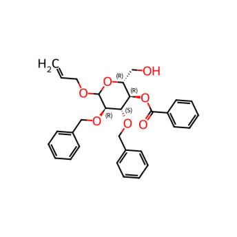 C=CCOC1O[C@H](CO)[C@@H](OC(=O)c2ccccc2)[C@H](OCc2ccccc2)[C@H]1OCc1ccccc1